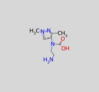 Cc1nn(C)cc1N(CCN)C(=O)O